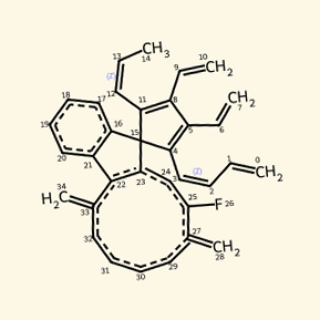 C=C/C=C\C1=C(C=C)C(C=C)=C(/C=C\C)C12c1ccccc1-c1c2cc(F)c(=C)ccccc1=C